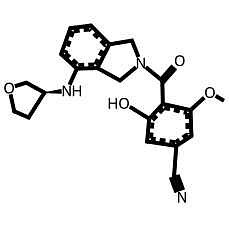 COc1cc(C#N)cc(O)c1C(=O)N1Cc2cccc(N[C@H]3CCOC3)c2C1